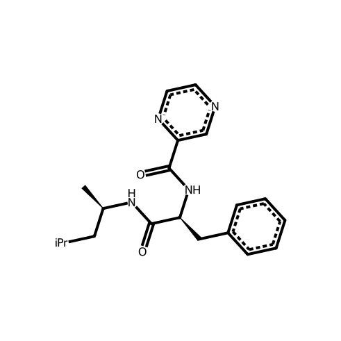 CC(C)C[C@@H](C)NC(=O)[C@H](Cc1ccccc1)NC(=O)c1cnccn1